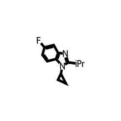 CC(C)c1nc2cc(F)ccc2n1C1CC1